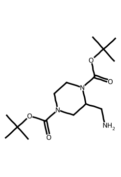 CC(C)(C)OC(=O)N1CCN(C(=O)OC(C)(C)C)C(CN)C1